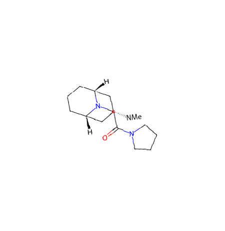 CN[C@H]1C[C@H]2CCC[C@@H](C1)N2CC(=O)N1CCCC1